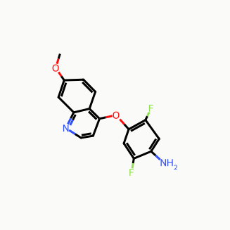 COc1ccc2c(Oc3cc(F)c(N)cc3F)ccnc2c1